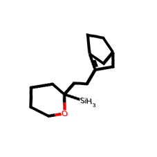 [SiH3]C1(CCC2=C3CCC(C3)C2)CCCCO1